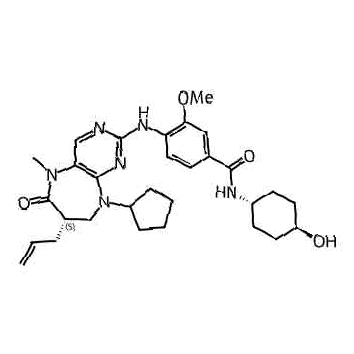 C=CC[C@H]1CN(C2CCCC2)c2nc(Nc3ccc(C(=O)N[C@H]4CC[C@H](O)CC4)cc3OC)ncc2N(C)C1=O